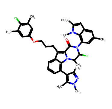 Cc1cc(N2C(=O)c3c(CCCOc4cc(C)c(Cl)c(C)c4)c4cccc(-c5c(C)nn(C)c5C)c4n3C(C)C2Cl)c2c(c1)cc(C(=O)O)n2C